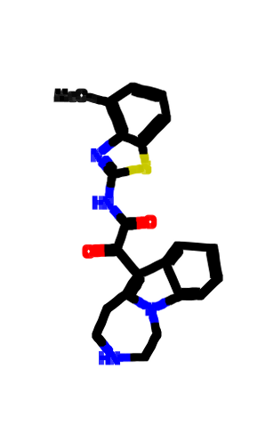 COc1cccc2sc(NC(=O)C(=O)c3c4n(c5ccccc35)CCNCC4)nc12